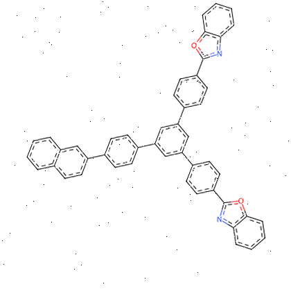 c1ccc2cc(-c3ccc(-c4cc(-c5ccc(-c6nc7ccccc7o6)cc5)cc(-c5ccc(-c6nc7ccccc7o6)cc5)c4)cc3)ccc2c1